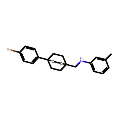 Cc1cccc(NCC23CCC(c4ccc(Br)cc4)(CC2)CC3)c1